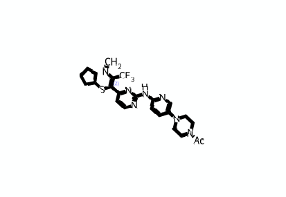 C=N/C(=C(\SC1CCCC1)c1ccnc(Nc2ccc(N3CCN(C(C)=O)CC3)cn2)n1)C(F)(F)F